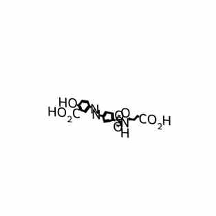 O=C(O)CCC(=O)NS(=O)(=O)c1ccc(/N=N/c2ccc(O)c(C(=O)O)c2)cc1